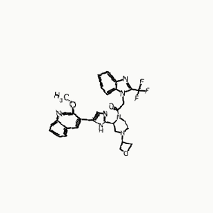 COc1nc2ccccc2cc1-c1cnc(C2CN(C3COC3)CCN2C(=O)Cn2c(C(F)(F)F)nc3ccccc32)[nH]1